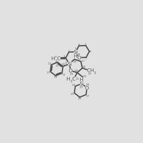 C=C(C[SiH]1CCCCO1)[Si]1(c2ccccc2)CCC(C)C(C)(C[SiH]2CCCCO2)O1